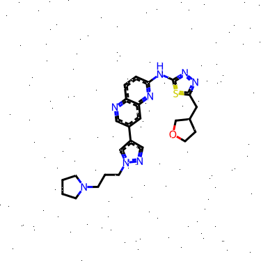 c1nc2ccc(Nc3nnc(CC4CCOC4)s3)nc2cc1-c1cnn(CCCN2CCCC2)c1